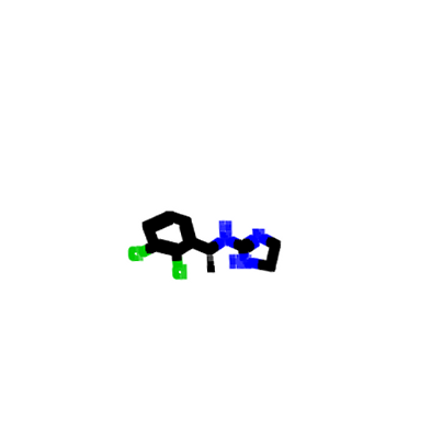 C[C@@H](NC1=NCCN1)c1cccc(Cl)c1Cl